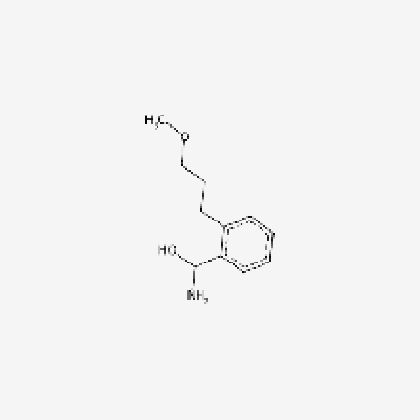 COCCCc1ccccc1C(N)O